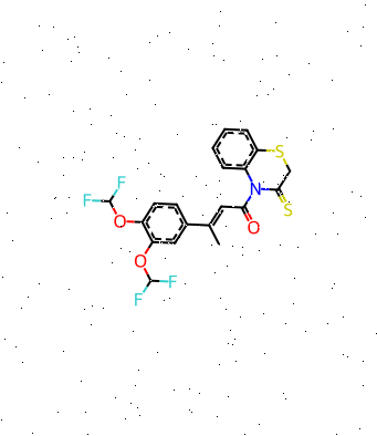 C/C(=C\C(=O)N1C(=S)CSc2ccccc21)c1ccc(OC(F)F)c(OC(F)F)c1